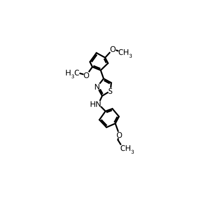 CCOc1ccc(Nc2nc(-c3cc(OC)ccc3OC)cs2)cc1